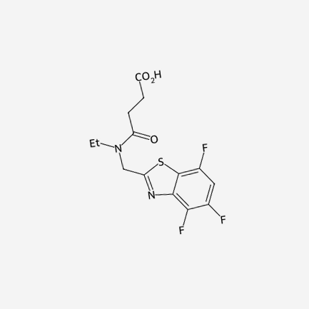 CCN(Cc1nc2c(F)c(F)cc(F)c2s1)C(=O)CCC(=O)O